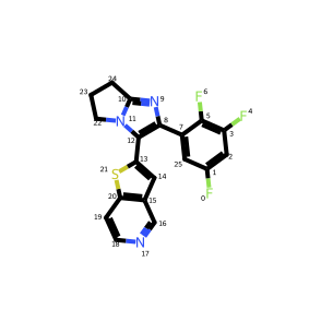 Fc1cc(F)c(F)c(-c2nc3n(c2-c2cc4cnccc4s2)CCC3)c1